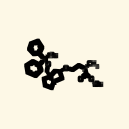 CN(CCO[C@H]1CN2CCC[C@]2(CO[Si](c2ccccc2)(c2ccccc2)C(C)(C)C)C1)C(=O)OC(C)(C)C